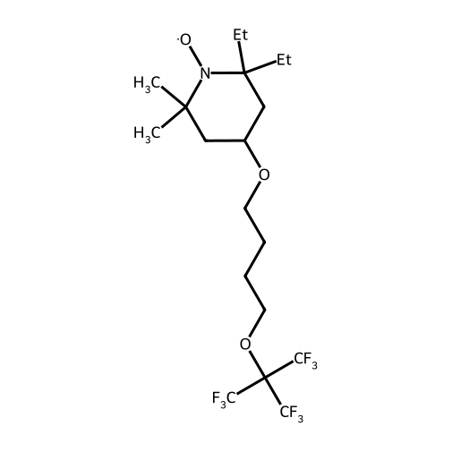 CCC1(CC)CC(OCCCCOC(C(F)(F)F)(C(F)(F)F)C(F)(F)F)CC(C)(C)N1[O]